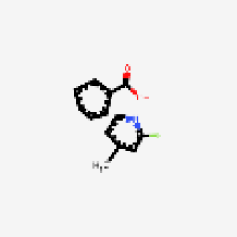 Cc1ccnc(F)c1.O=C(O)c1ccccc1